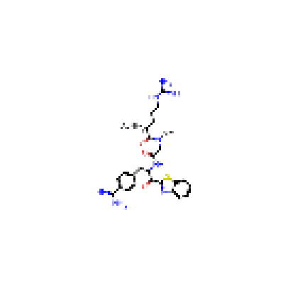 CCCN(CC(=O)NC(Cc1ccc(C(=N)N)cc1)C(=O)c1nc2ccccc2s1)C(=O)[C@H](CCCNC(=N)N)NC(C)=O